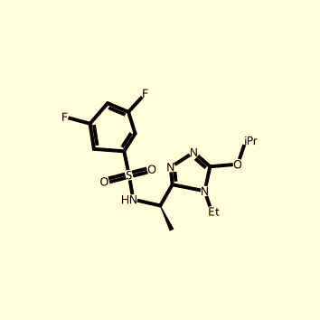 CCn1c(OC(C)C)nnc1[C@@H](C)NS(=O)(=O)c1cc(F)cc(F)c1